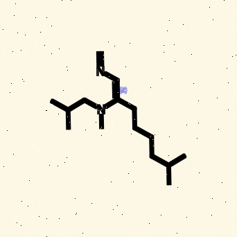 C=N/C=C(/CCCCC(C)C)N(C)CC(C)C